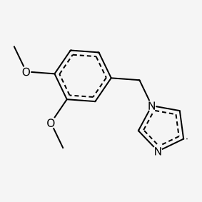 COc1ccc(Cn2c[c]nc2)cc1OC